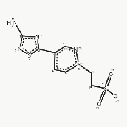 Nc1nsc(-c2cc[n+](CCS(=O)(=O)[O-])nc2)n1